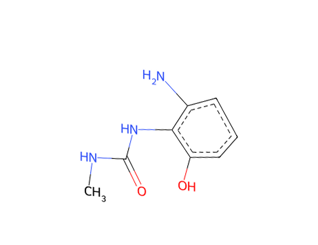 CNC(=O)Nc1c(N)cccc1O